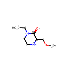 CC(C)(C)OCC1NCCN(CC(=O)O)C1=O